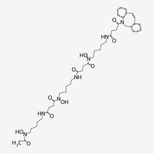 CC(=O)N(O)CCCCCNC(=O)CCC(=O)N(O)CCCCCNC(=O)CCC(=O)N(O)CCCCCNC(=O)CCC(=O)N1Cc2ccccc2/C=C\c2ccccc21